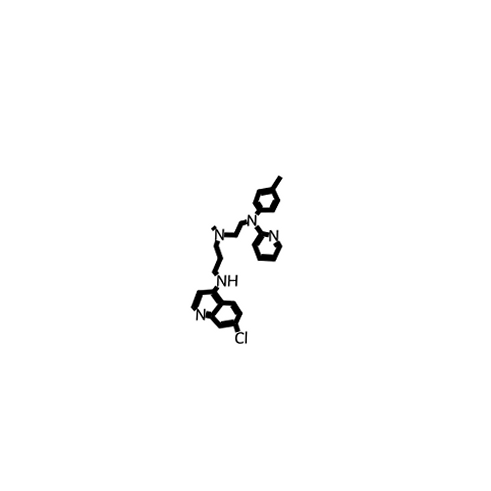 Cc1ccc(N(CCN(C)CCCNc2ccnc3cc(Cl)ccc23)c2ccccn2)cc1